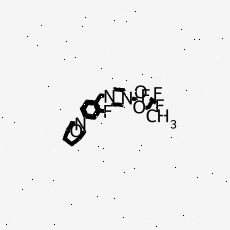 CC(OC(=O)N1CCN(Cc2ccc(N3CC4CCC(C3)O4)cc2F)CC1)C(F)(F)F